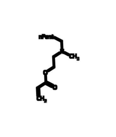 C=CC(=O)OCCN(C)CCCCCC